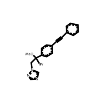 COC(Cn1cncn1)(c1ccc(C#Cc2ccccc2)cc1)C(C)C